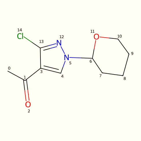 CC(=O)c1cn(C2CCCCO2)nc1Cl